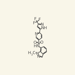 Cn1ncc2cccc(NS(=O)(=O)c3ccc(-c4cc(C(F)(F)F)n[nH]4)nc3)c21